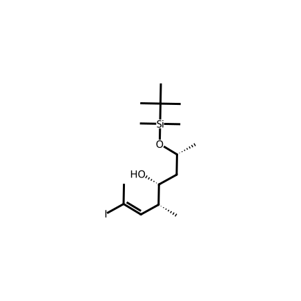 C/C(I)=C\[C@@H](C)[C@H](O)C[C@@H](C)O[Si](C)(C)C(C)(C)C